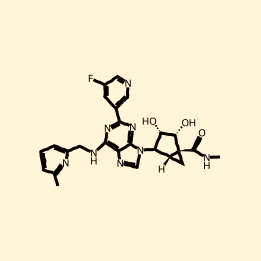 CNC(=O)[C@@]12C[C@@H]1C(n1cnc3c(NCc4cccc(C)n4)nc(-c4cncc(F)c4)nc31)[C@H](O)[C@@H]2O